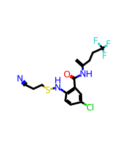 C=C(CCC(F)(F)F)NC(=O)c1cc(Cl)ccc1NSCCC#N